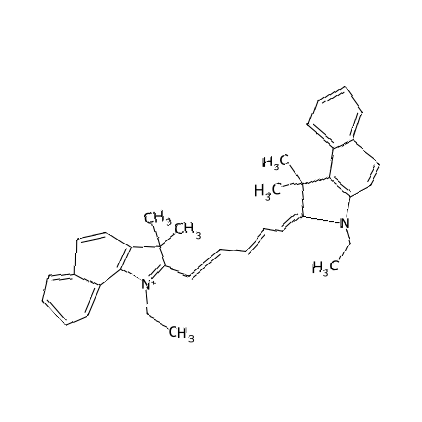 CCN1/C(=C/C=C/C=C/C2=[N+](CC)c3c(ccc4ccccc34)C2(C)C)C(C)(C)c2c1ccc1ccccc21